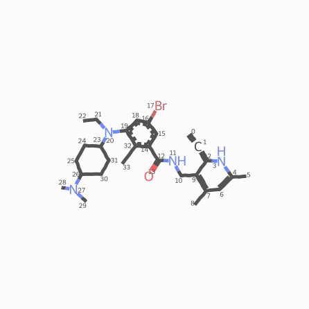 C=C=C1NC(C)=CC(C)=C1CNC(=O)c1cc(Br)cc(N(CC)C2CCC(N(C)C)CC2)c1C